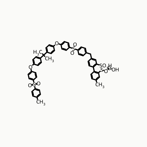 Cc1ccc(S(=O)(=O)c2ccc(Oc3ccc(C(C)(C)c4ccc(Oc5ccc(S(=O)(=O)c6ccc(Cc7ccc(-c8ccc(C)cc8SOOO)c(S(=O)(=O)O)c7)cc6)cc5)cc4)cc3)cc2)cc1